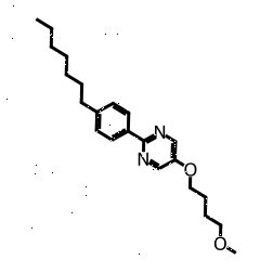 CCCCCCCc1ccc(-c2ncc(OCCCCOC)cn2)cc1